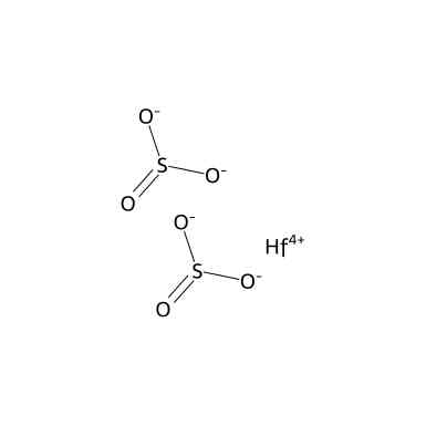 O=S([O-])[O-].O=S([O-])[O-].[Hf+4]